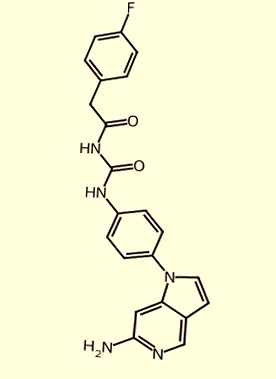 Nc1cc2c(ccn2-c2ccc(NC(=O)NC(=O)Cc3ccc(F)cc3)cc2)cn1